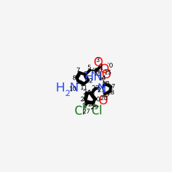 COC(=O)[C@H](Cc1ccc(N)cc1)NC(=O)[C@@H]1CCC(=O)N1Cc1ccc(Cl)c(Cl)c1